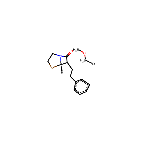 CC[SiH2]O[SiH3].O=C1C(CCc2ccccc2)[C@@H]2SCCN12